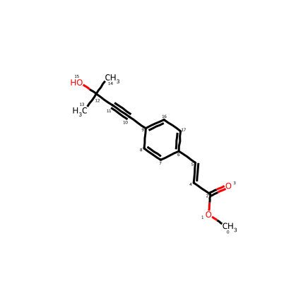 COC(=O)C=Cc1ccc(C#CC(C)(C)O)cc1